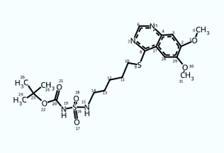 COc1cc2ncnc(SCCCCCNS(=O)(=O)NC(=O)OC(C)(C)C)c2cc1OC